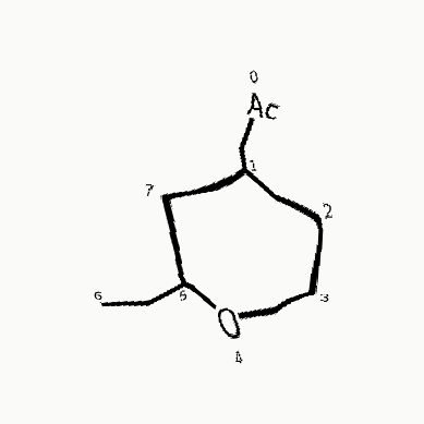 CC(=O)C1CCOC(C)C1